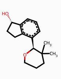 CC1(C)CCCO[C@H]1c1cccc2c1CC[C@@H]2O